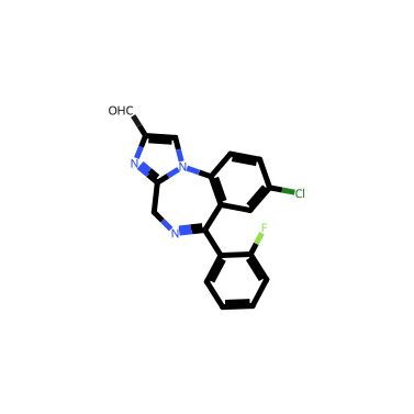 O=Cc1cn2c(n1)CN=C(c1ccccc1F)c1cc(Cl)ccc1-2